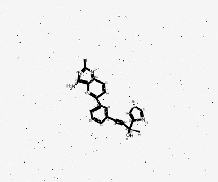 Cc1nc(N)c2nc(-c3cccc(C#C[C@@](C)(O)c4cscn4)c3)ccc2n1